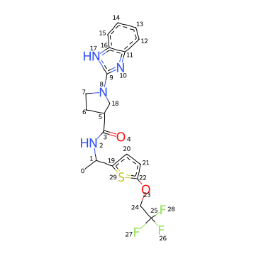 CC(NC(=O)C1CCN(c2nc3ccccc3[nH]2)C1)c1ccc(OCC(F)(F)F)s1